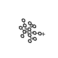 CC(C)(C)c1ccc(-c2ccc(N3c4cc(N(c5ccccc5)c5ccccc5)ccc4B4c5cc(-c6ccccc6)cc6c5N(c5ccc(-c7ccccc7)cc5-c5ccccc5-6)c5cc(-n6c7ccccc7c7ccccc76)cc3c54)cc2)cc1